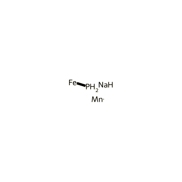 [Mn].[NaH].[PH2][Fe]